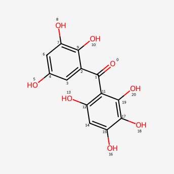 O=C(c1cc(O)cc(O)c1O)c1c(O)cc(O)c(O)c1O